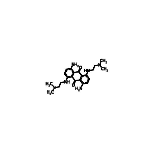 CN(C)CCNc1ccc(N)c2c1C(=O)c1c(N)ccc(NCCN(C)C)c1C2=O